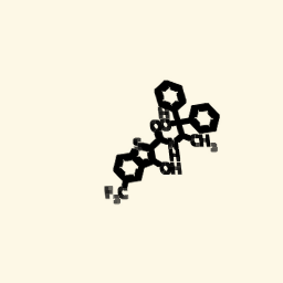 CC(NC(=O)c1sc2ccc(C(F)(F)F)cc2c1O)C(O)(c1ccccc1)c1ccccc1